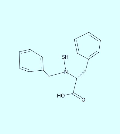 O=C(O)[C@@H](Cc1ccccc1)N(S)Cc1ccccc1